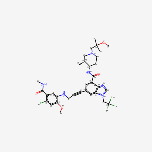 CNC(=O)c1cc(NCC#Cc2cc(C(=O)N[C@H]3CCN(CC(C)(C)OC)C[C@@H]3C)c3ncn(CC(F)(F)F)c3c2)c(OC)cc1F